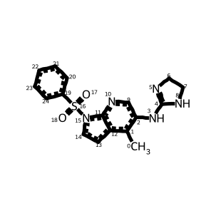 Cc1c(NC2=NCCN2)cnc2c1ccn2S(=O)(=O)c1ccccc1